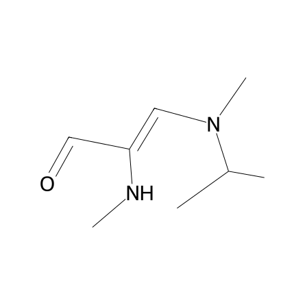 CN/C(C=O)=C\N(C)C(C)C